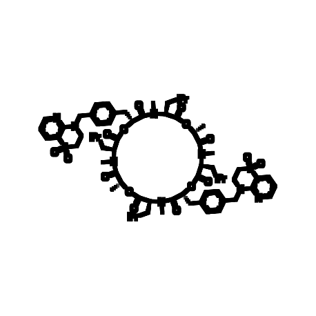 CC(C)C[C@H]1C(=O)O[C@H](Cc2ccc(CN3CCS(=O)(=O)c4cccnc43)cc2)C(=O)N(C)[C@@H](CC(C)C)C(=O)O[C@H](C)C(=O)N(C)[C@@H](CC(C)C)C(=O)O[C@H](Cc2ccc(CN3CCS(=O)(=O)c4cccnc43)cc2)C(=O)N(C)[C@@H](CC(C)C)C(=O)O[C@H](C)C(=O)N1C